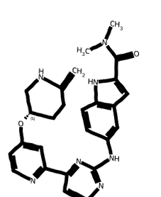 C=C1CC[C@H](Oc2ccnc(-c3ccnc(Nc4ccc5[nH]c(C(=O)N(C)C)cc5c4)n3)c2)CN1